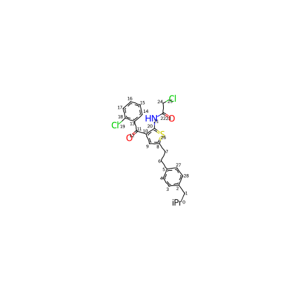 CC(C)Cc1ccc(CCc2cc(C(=O)c3ccccc3Cl)c(NC(=O)CCl)s2)cc1